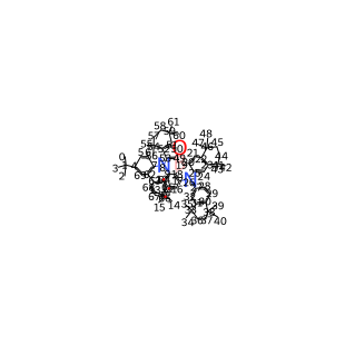 CC(C)(C)c1ccc(N2c3cc(C(C)(C)C)cc4c3B(c3cc5c(cc3N4c3ccc4c(c3)C(C)(C)CCC4(C)C)C(C)(C)CCC5(C)C)c3oc4c(c32)C(C)(C)CCC4(C)C)c(-c2ccccc2)c1